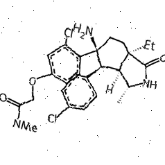 CC[C@@]12CC[C@@](N)(c3ccc(OCC(=O)NC)cc3Cl)[C@H](c3ccc(Cl)cc3)[C@@H]1[C@@H](C)NC2=O